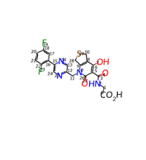 O=C(O)CNC(=O)c1c(O)c2c(n(Cc3cnc(-c4cc(F)ccc4F)cn3)c1=O)CSC2